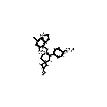 COc1cc(C)c2[nH]ccc2c1CN1CCC2(CC(C#N)C2)CC1c1ccc(C(=O)O)cc1